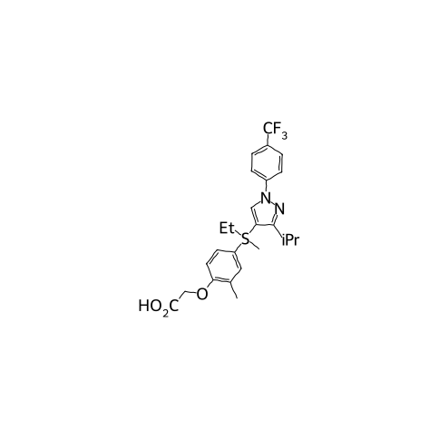 CCS(C)(c1ccc(OCC(=O)O)c(C)c1)c1cn(-c2ccc(C(F)(F)F)cc2)nc1C(C)C